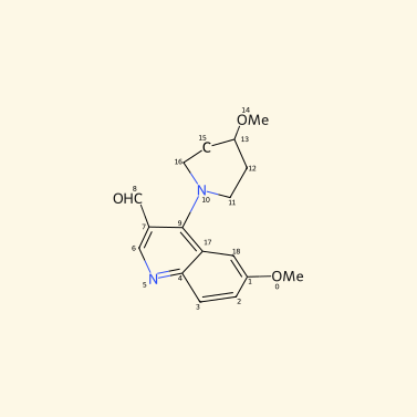 COc1ccc2ncc(C=O)c(N3CCC(OC)CC3)c2c1